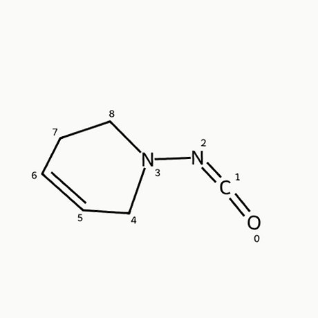 O=C=NN1CC=CCC1